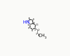 CCCc1ccc2[nH]ccc2c1